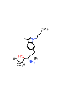 COCCCn1cc(C)c2ccc(C[C@@H](C[C@H](N)[C@@H](O)C[C@H](C(=O)O)C(C)C)C(C)C)cc21